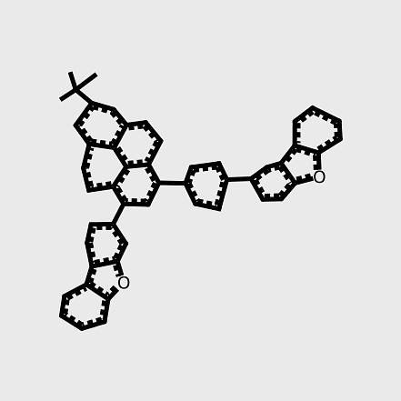 CC(C)(C)c1cc2ccc3c(-c4ccc(-c5ccc6oc7ccccc7c6c5)cc4)cc(-c4ccc5c(c4)oc4ccccc45)c4ccc(c1)c2c34